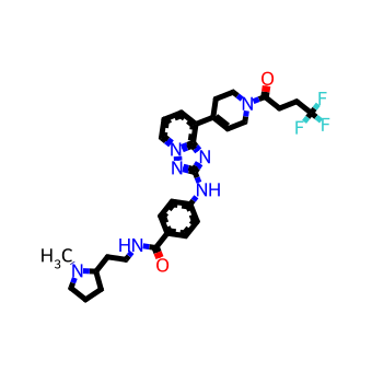 CN1CCCC1CCNC(=O)c1ccc(Nc2nc3c(C4=CCN(C(=O)CCC(F)(F)F)CC4)cccn3n2)cc1